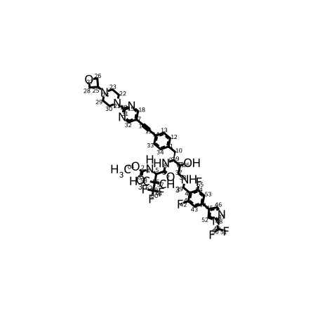 COC(=O)NC(C(=O)N[C@@H](Cc1ccc(C#Cc2cnc(N3CCN(C4COC4)CC3)nc2)cc1)[C@@H](O)CNCc1c(F)cc(-c2cnn(C(F)F)c2)cc1F)C(C)(C)C(F)(F)F